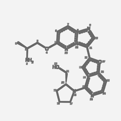 C[C@H](N)COc1ccc2ncc(-c3cc4c(N5CCC[C@@H]5CO)nccc4o3)n2n1